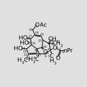 CCCC(=O)O[C@]1(C)CC(C)C23C=C(C)C(O)[C@@]2(O)C(O)C(COC(C)=O)=CC(C3=O)C1(C)C